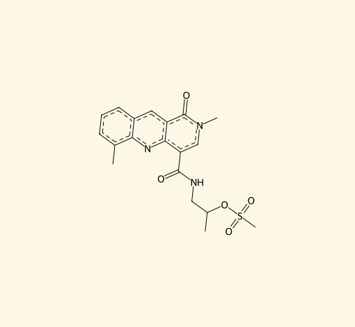 Cc1cccc2cc3c(=O)n(C)cc(C(=O)NCC(C)OS(C)(=O)=O)c3nc12